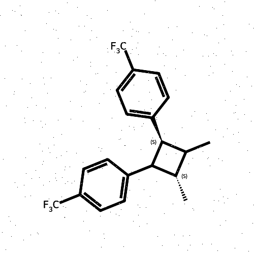 CC1[C@H](C)C(c2ccc(C(F)(F)F)cc2)[C@H]1c1ccc(C(F)(F)F)cc1